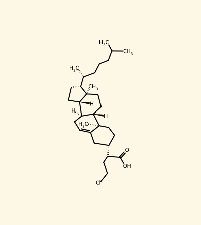 CC(C)CCC[C@@H](C)[C@H]1CC[C@H]2[C@@H]3CC=C4C[C@@H](C(CCCl)C(=O)O)CC[C@]4(C)[C@H]3CC[C@]12C